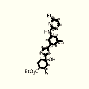 CCOC(=O)[C@H]1CC[C@](O)(c2ncc(-c3cc(C)cc(Nc4nccc(CC)n4)c3)s2)C[C@H]1C